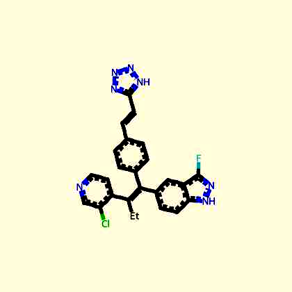 CC/C(=C(/c1ccc(/C=C/c2nnn[nH]2)cc1)c1ccc2[nH]nc(F)c2c1)c1ccncc1Cl